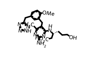 COc1ccc(Cc2nn[nH]n2)cc1Cc1c(C)nc(N)nc1N[C@H](CCCO)CC(=O)O